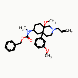 C=CCN1CCC2(c3cccc(OC)c3)CC(N(C)C(=O)OCc3ccccc3)CCC2(OC)C1